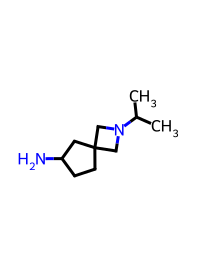 CC(C)N1CC2(CCC(N)C2)C1